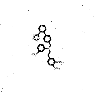 COc1ccc(CCN(Cc2ccc(-c3ccccc3-c3nnn[nH]3)cc2)c2cccc(C(=O)O)c2)cc1OC